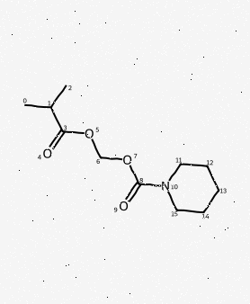 CC(C)C(=O)OCOC(=O)N1CCCCC1